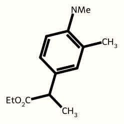 CCOC(=O)C(C)c1ccc(NC)c(C)c1